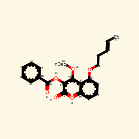 CC/C=C/CCOc1cccc2oc(=O)c(OC(=O)c3ccccc3)c(OCCCCCCCCCC)c12